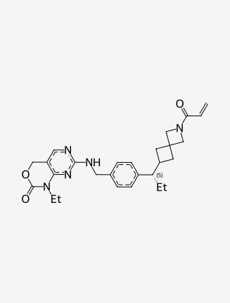 C=CC(=O)N1CC2(CC([C@H](CC)c3ccc(CNc4ncc5c(n4)N(CC)C(=O)OC5)cc3)C2)C1